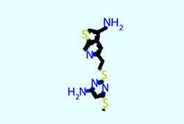 CSc1cc(N)nc(SCCc2cc3c(CN)csc3cn2)n1